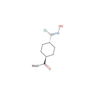 COC(=O)[C@H]1CC[C@H](C(Cl)=NO)CC1